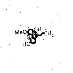 C=CCN1CC[C@]23c4c5ccc(O)c4O[C@H]2C(OC)CC[C@@]3(O)C1C5